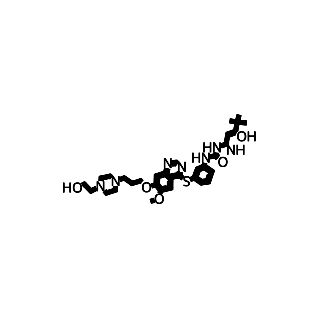 COc1cc2c(Sc3cccc(NC(=O)NC(=N)/C=C(\O)C(C)(C)C)c3)ncnc2cc1OCCCN1CCN(CCO)CC1